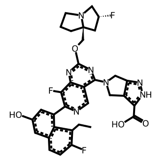 CCc1c(F)ccc2cc(O)cc(-c3ncc4c(N5Cc6n[nH]c(C(=O)O)c6C5)nc(OC[C@@]56CCCN5C[C@H](F)C6)nc4c3F)c12